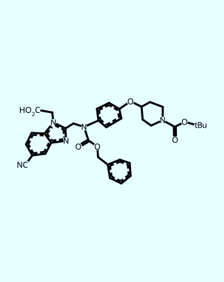 CC(C)(C)OC(=O)N1CCC(Oc2ccc(N(Cc3nc4cc(C#N)ccc4n3CC(=O)O)C(=O)OCc3ccccc3)cc2)CC1